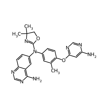 Cc1cc(N(C2=NC(C)(C)CO2)c2ccc3ncnc(N)c3c2)ccc1Oc1cc(N)ncn1